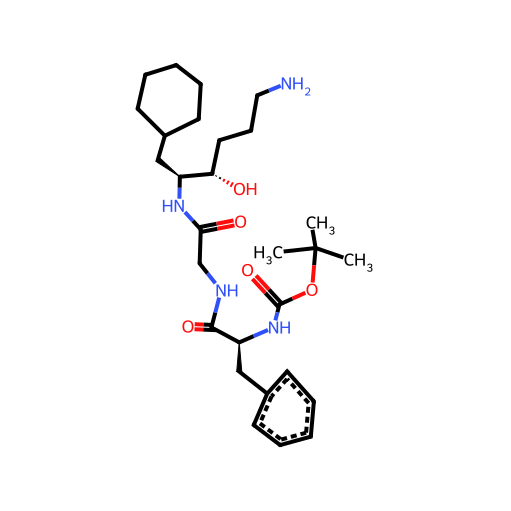 CC(C)(C)OC(=O)N[C@@H](Cc1ccccc1)C(=O)NCC(=O)N[C@@H](CC1CCCCC1)[C@@H](O)CCCN